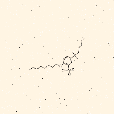 CCCCCCCCOc1ccc(C(C)(C)CCCCC)cc1S(=O)(=O)Cl